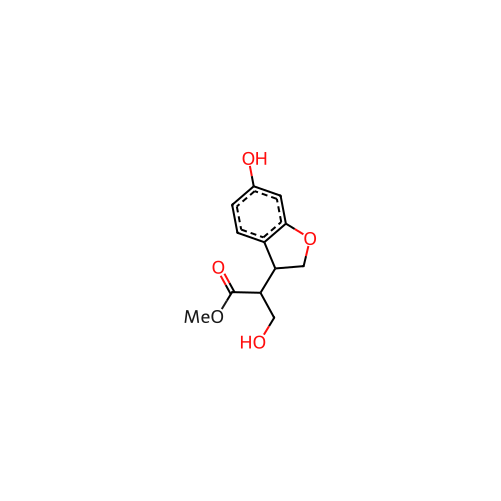 COC(=O)C(CO)C1COc2cc(O)ccc21